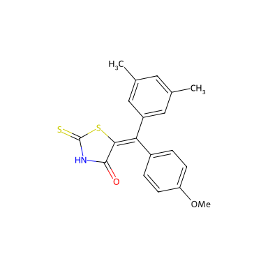 COc1ccc(/C(=C2/SC(=S)NC2=O)c2cc(C)cc(C)c2)cc1